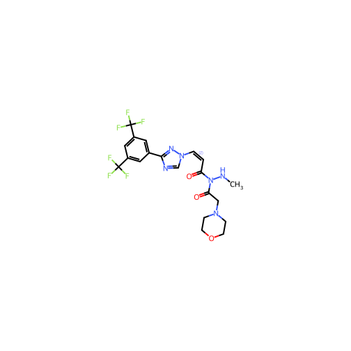 CNN(C(=O)/C=C\n1cnc(-c2cc(C(F)(F)F)cc(C(F)(F)F)c2)n1)C(=O)CN1CCOCC1